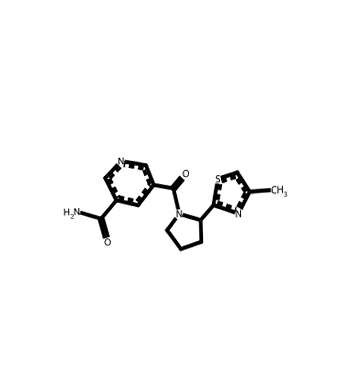 Cc1csc(C2CCCN2C(=O)c2cncc(C(N)=O)c2)n1